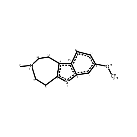 CN1CCc2sc3cc(OC(F)(F)F)ccc3c2CC1